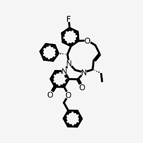 CC[C@H]1/C=C/COc2cc(F)ccc2[C@@H](c2ccccc2)N2CN1C(=O)c1c(OCc3ccccc3)c(=O)ccn12